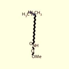 C/N=N\N=C(/C)CCCCCCCCCCCCCCCC(=O)NCCOCCOC